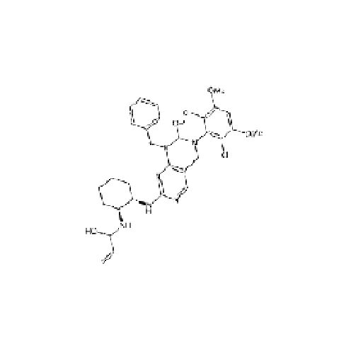 C=CC(O)N[C@H]1CCCC[C@H]1Nc1ncc2c(n1)N(Cc1ccccc1)C(O)N(c1c(Cl)c(OC)cc(OC)c1Cl)C2